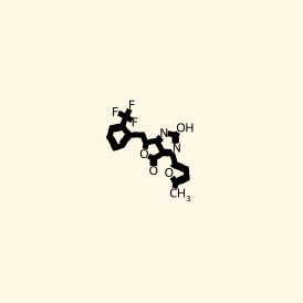 Cc1ccc(-c2nc(O)nc3c2C(=O)OC3Cc2ccccc2C(F)(F)F)o1